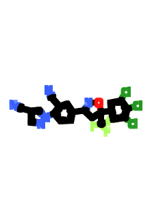 N#Cc1cnn(-c2ccc(C3=NOC(c4cc(Cl)c(Cl)c(Cl)c4)(C(F)(F)F)C3)cc2C#N)c1